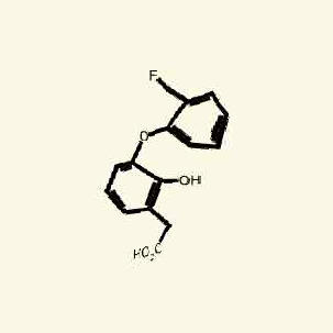 O=C(O)Cc1cccc(Oc2ccccc2F)c1O